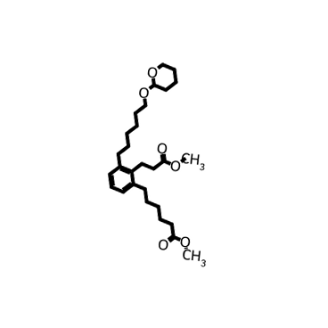 COC(=O)CCCCCc1cccc(CCCCCCOC2CCCCO2)c1CCC(=O)OC